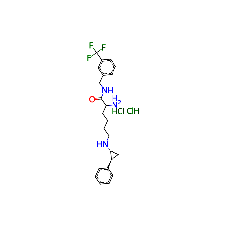 Cl.Cl.NC(CCCCN[C@@H]1C[C@H]1c1ccccc1)C(=O)NCc1cccc(C(F)(F)F)c1